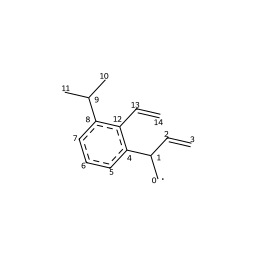 [CH2]C(C=C)c1cccc(C(C)C)c1C=C